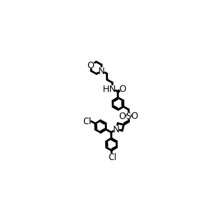 O=C(NCCCN1CCOCC1)c1cccc(CS(=O)(=O)C=C2CN(C(c3ccc(Cl)cc3)c3ccc(Cl)cc3)C2)c1